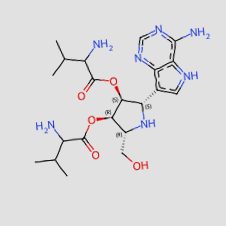 CC(C)C(N)C(=O)O[C@@H]1[C@H](OC(=O)C(N)C(C)C)[C@@H](CO)N[C@H]1c1c[nH]c2c(N)ncnc12